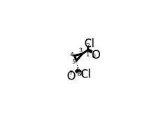 O=C(Cl)C1C[C@H]1C(=O)Cl